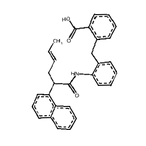 CC=CCC(C(=O)Nc1ccccc1Cc1ccccc1C(=O)O)c1cccc2ccccc12